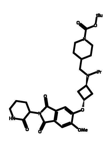 COc1cc2c(cc1O[C@H]1C[C@H](N(CC3CCN(C(=O)OC(C)(C)C)CC3)C(C)C)C1)C(=O)N(C1CCCNC1=O)C2=O